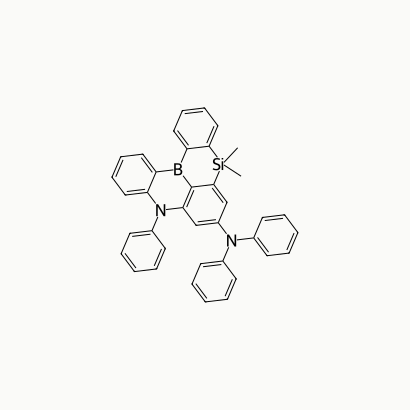 C[Si]1(C)c2ccccc2B2c3ccccc3N(c3ccccc3)c3cc(N(c4ccccc4)c4ccccc4)cc1c32